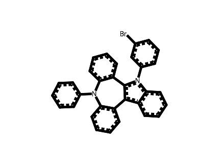 Brc1cccc(-n2c3c(c4ccccc42)-c2ccccc2N(c2ccccc2)c2ccccc2-3)c1